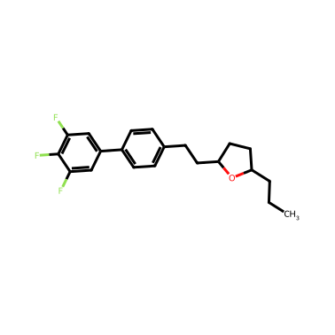 CCCC1CCC(CCc2ccc(-c3cc(F)c(F)c(F)c3)cc2)O1